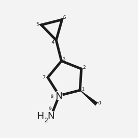 C[C@@H]1CC(C2CC2)CN1N